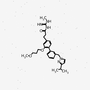 CNC(=N)NC(=O)CCc1ccc(-c2cccc(Cn3ccc(C(C)C)n3)c2)c(OCCCOC)c1